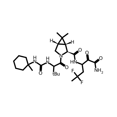 CC(F)(F)CC(NC(=O)[C@@H]1[C@@H]2[C@H](CN1C(=O)C(NC(=O)NC1(C)CCCCC1)C(C)(C)C)C2(C)C)C(=O)C(N)=O